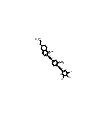 CCCC1CCc2c(ccc(C#Cc3ccc(C#Cc4cc(F)c(N)c(F)c4)c(C)c3)c2C)C1